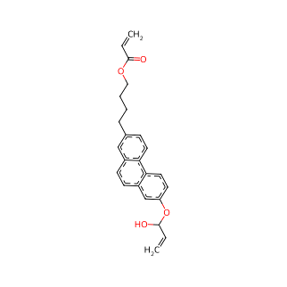 C=CC(=O)OCCCCc1ccc2c(ccc3cc(OC(O)C=C)ccc32)c1